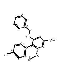 CCOC(=O)c1cc(OCC)c(-c2ccc(F)cc2)c(OCc2ccccc2)c1